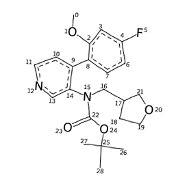 COc1cc(F)ccc1-c1ccncc1N(CC1CCOC1)C(=O)OC(C)(C)C